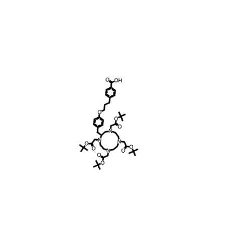 CC(C)(C)OC(=O)CN1CCN(CC(=O)OC(C)(C)C)CCN(CC(=O)OC(C)(C)C)C(Cc2ccc(OCCCc3ccc(C(=O)O)cc3)cc2)CN(CC(=O)OC(C)(C)C)CC1